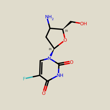 NC1C[C@H](n2cc(F)c(=O)[nH]c2=O)O[C@@H]1CO